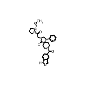 COC[C@H]1CCCN1C(=O)CN1CN(c2ccccc2)C2(CCN(C(=O)c3ccc4[nH]ncc4c3)CC2)C1=O